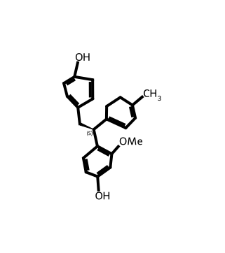 COc1cc(O)ccc1[C@@H](Cc1ccc(O)cc1)C1=CC=C(C)CC1